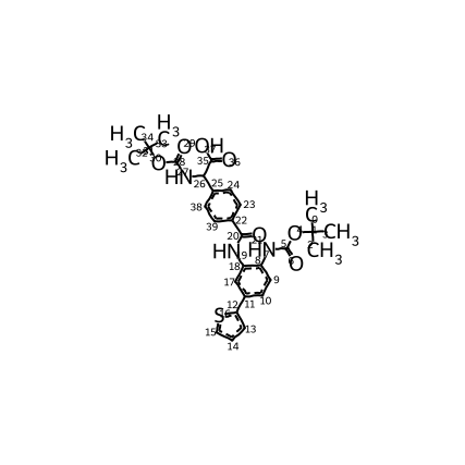 CC(C)(C)OC(=O)Nc1ccc(-c2cccs2)cc1NC(=O)c1ccc(C(NC(=O)OC(C)(C)C)C(=O)O)cc1